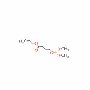 C=CCOC(=O)CCCOP(OC)OC